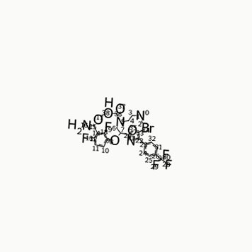 CN(C)CCN(CC(Oc1ccc(F)c(C(N)=O)c1F)c1nc(-c2ccc(C(F)(F)F)cc2)c(Br)o1)C(=O)O